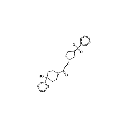 O=C(COC1CCN(S(=O)(=O)c2ccccc2)C1)N1CCC(O)(c2ccccn2)CC1